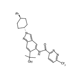 CC(C)[C@H]1CC[C@H](n2cc3cc(NC(=O)c4ccc(C(F)(F)F)nn4)c(C(C)(C)O)cc3n2)CC1